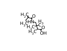 C=C(CC)C(=O)NCC(C)(C)C(C)C(=O)O